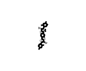 Cc1ccc(C2=C(Br)c3sc4cc5c(cc4c3[Si]2(C)C)sc2c(Br)c(-c3ccc(C)cc3I)oc25)c(I)c1